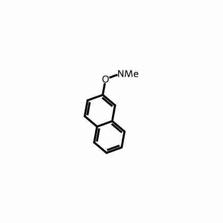 CNOc1ccc2ccccc2c1